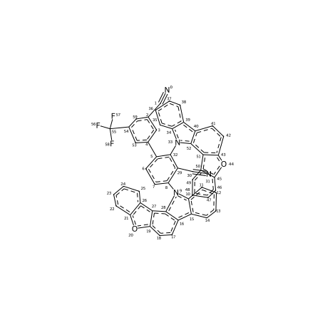 N#Cc1cc(-c2ccc(-n3c4ccccc4c4ccc5oc6ccccc6c5c43)c(C#N)c2-n2c3ccccc3c3ccc4oc5ccccc5c4c32)cc(C(F)(F)F)c1